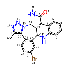 CNC(=O)Cc1ccccc1NC1CCn2nnc(C)c2-c2ccc(Br)cc21